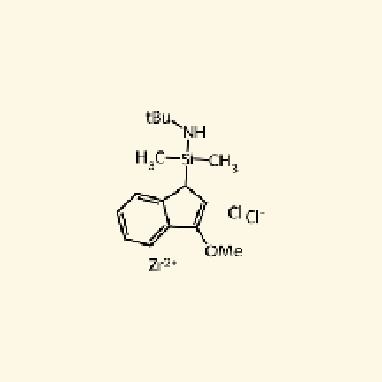 COC1=CC([Si](C)(C)NC(C)(C)C)c2ccccc21.[Cl-].[Cl-].[Zr+2]